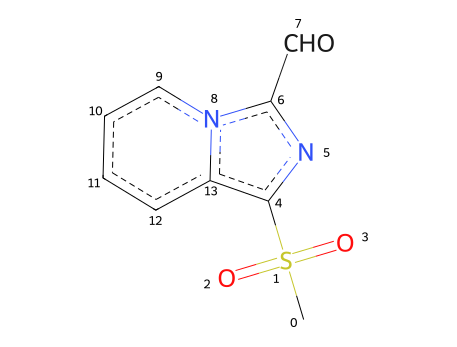 CS(=O)(=O)c1nc(C=O)n2ccccc12